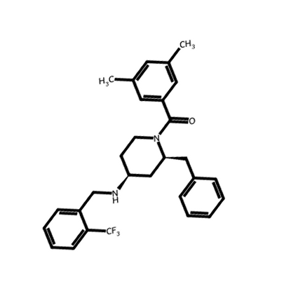 Cc1cc(C)cc(C(=O)N2CC[C@H](NCc3ccccc3C(F)(F)F)C[C@@H]2Cc2ccccc2)c1